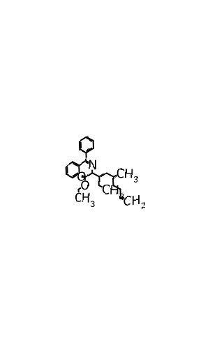 C=CCCC(C)CC(CC)C(N=C(c1ccccc1)c1ccccc1)C(=O)OCC